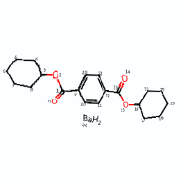 O=C(OC1CCCCC1)c1ccc(C(=O)OC2CCCCC2)cc1.[BaH2]